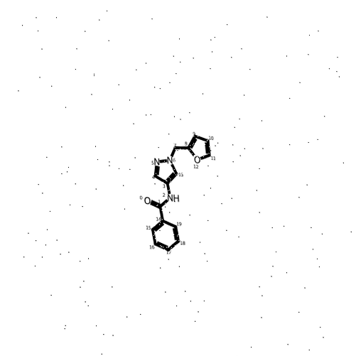 O=C(Nc1cnn(Cc2ccco2)c1)c1ccccc1